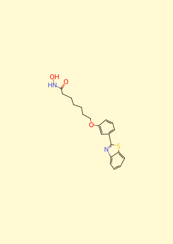 O=C(CCCCCCOc1cccc(-c2nc3ccccc3s2)c1)NO